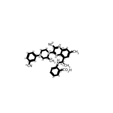 Cc1cc([C@@H](C)Nc2ccccc2C(=O)O)c2nc(N3CCN(c4cccc(C#N)c4)CC3C)c(C#N)nc2c1